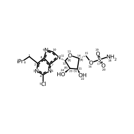 CC(C)Cc1nc(Cl)nc2c1ncn2[C@@H]1O[C@H](COS(N)(=O)=O)[C@@H](O)[C@H]1O